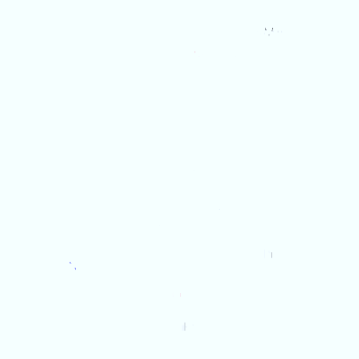 CSC(=O)c1cccc(-c2ccc(-c3cnccc3OC(C)C)cc2CC(C)C)c1